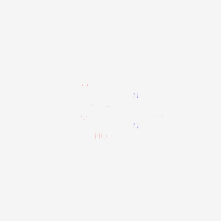 CCOC(=O)C1=C(O)N=C2CCCCN2C1C